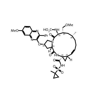 COC[C@@H]1C[C@H](C)CCC=C[C@@H]2C[C@@]2(C(=O)NS(=O)(=O)C2(C)CC2)NC(=O)[C@@H]2C[C@@H](Oc3nc4cc(OC)ccc4nc3C(C)C)CN2C(=O)[C@H]1NC(=O)O